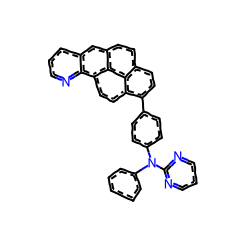 c1ccc(N(c2ccc(-c3ccc4ccc5cc6cccnc6c6ccc3c4c56)cc2)c2ncccn2)cc1